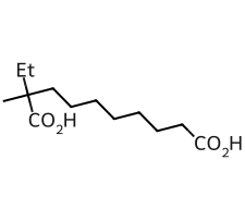 CCC(C)(CCCCCCCC(=O)O)C(=O)O